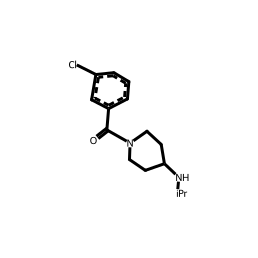 CC(C)NC1CCN(C(=O)c2cccc(Cl)c2)CC1